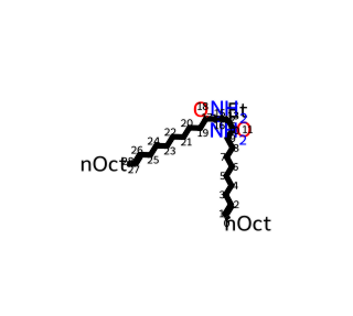 CCCCCCCCC=CCCCCCCCC(=O)C(CC)C(N)(N)C(=O)CCCCCCCC=CCCCCCCCC